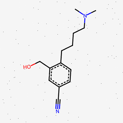 CN(C)CCCCc1ccc(C#N)cc1CO